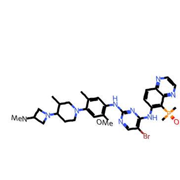 CNC1CN(C2CCN(c3cc(OC)c(Nc4ncc(Br)c(Nc5ccc6nccnc6c5P(C)(C)=O)n4)cc3C)CC2C)C1